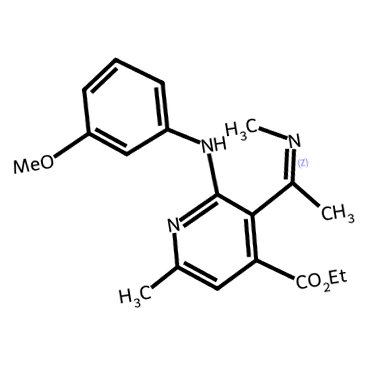 CCOC(=O)c1cc(C)nc(Nc2cccc(OC)c2)c1/C(C)=N\C